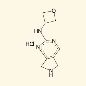 Cl.c1nc(NC2COC2)nc2c1CNC2